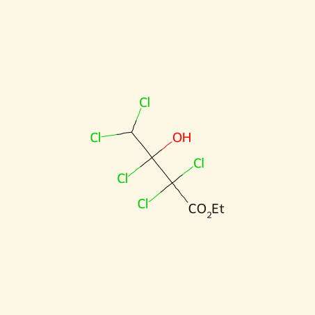 CCOC(=O)C(Cl)(Cl)C(O)(Cl)C(Cl)Cl